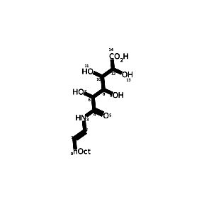 CCCCCCCCC=CNC(=O)C(O)C(O)C(O)C(O)C(=O)O